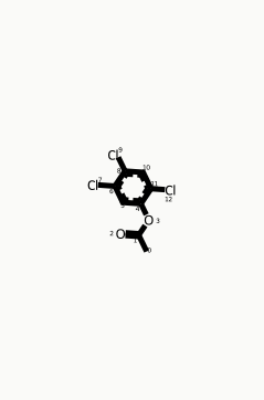 CC(=O)Oc1cc(Cl)c(Cl)cc1Cl